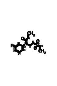 C=CC(=O)N(CCS(=O)(=O)C=C)c1cccc(F)c1